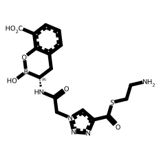 NCCSC(=O)c1cn(CC(=O)N[C@H]2Cc3cccc(C(=O)O)c3OB2O)nn1